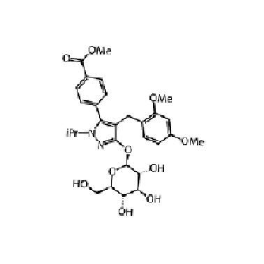 COC(=O)c1ccc(-c2c(Cc3ccc(OC)cc3OC)c(O[C@@H]3O[C@H](CO)[C@@H](O)[C@H](O)[C@H]3O)nn2C(C)C)cc1